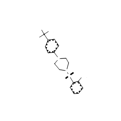 Cc1ccccc1S(=O)(=O)N1CCN(c2ccc(C(C)(C)O)cc2)CC1